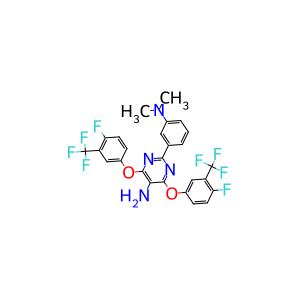 CN(C)c1cccc(-c2nc(Oc3ccc(F)c(C(F)(F)F)c3)c(N)c(Oc3ccc(F)c(C(F)(F)F)c3)n2)c1